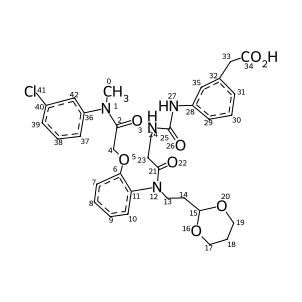 CN(C(=O)COc1ccccc1N(CCC1OCCCO1)C(=O)CNC(=O)Nc1cccc(CC(=O)O)c1)c1cccc(Cl)c1